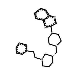 c1ccc(CCN2CCC[C@@H](CN3CCN(c4cnc5ccccc5n4)CC3)C2)cc1